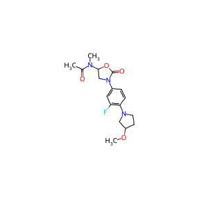 COC1CCN(c2ccc(N3CC(N(C)C(C)=O)OC3=O)cc2F)C1